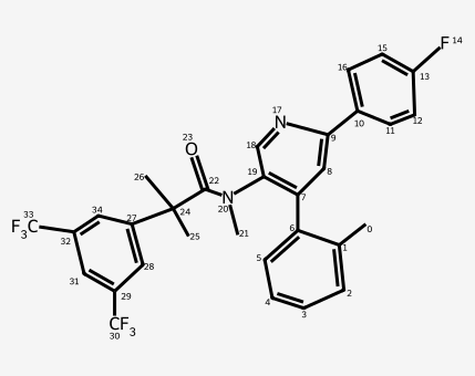 Cc1ccccc1-c1cc(-c2ccc(F)cc2)ncc1N(C)C(=O)C(C)(C)c1cc(C(F)(F)F)cc(C(F)(F)F)c1